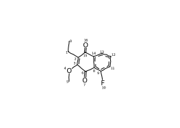 CCC1=C(OC)C(=O)c2c(F)cccc2C1=O